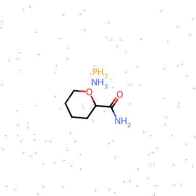 N.NC(=O)C1CCCCO1.P